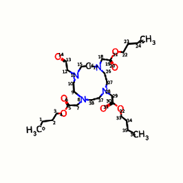 CCCCOC(=O)CN1CCN(C[C]=O)CCN(CC(=O)OCCCC)CCN(CC(=O)OCCCC)CC1